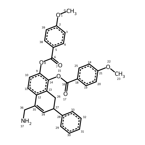 COc1ccc(C(=O)Oc2ccc3c(c2OC(=O)c2ccc(OC)cc2)CC(c2ccccc2)C=C3CN)cc1